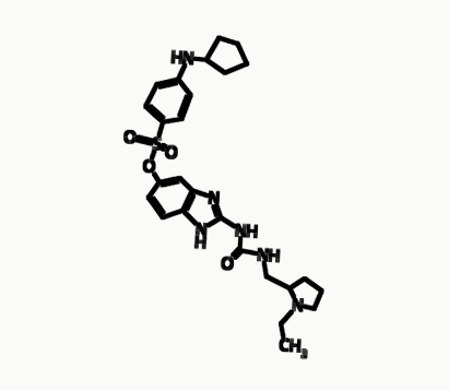 CCN1CCCC1CNC(=O)Nc1nc2cc(OS(=O)(=O)c3ccc(NC4CCCC4)cc3)ccc2[nH]1